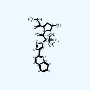 CNC(=O)C1CC(O)CN1C(=O)[C@@H](n1cc(-c2ccc3ccccc3n2)nn1)C(C)(C)C